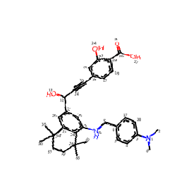 CN(C)c1ccc(CNc2cc(C(O)C#Cc3ccc(C(=O)O)c(O)c3)cc3c2C(C)(C)CCC3(C)C)cc1